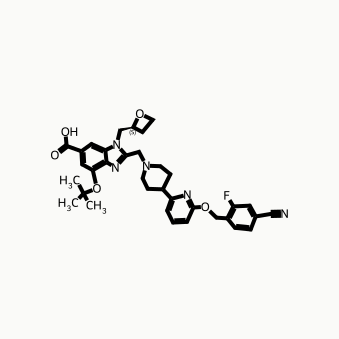 CC(C)(C)Oc1cc(C(=O)O)cc2c1nc(CN1CCC(c3cccc(OCc4ccc(C#N)cc4F)n3)CC1)n2C[C@@H]1CCO1